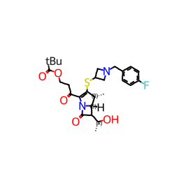 C[C@@H](O)C1C(=O)N2C(C(=O)CCOC(=O)C(C)(C)C)=C(SC3CN(Cc4ccc(F)cc4)C3)[C@H](C)[C@H]12